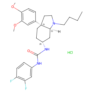 CCCCN1CC[C@]2(c3ccc(OC)c(OC)c3)CC[C@@H](NC(=O)Nc3ccc(F)c(F)c3)C[C@H]12.Cl